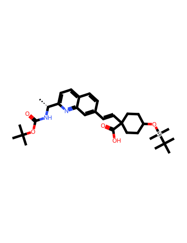 C[C@@H](NC(=O)OC(C)(C)C)c1ccc2ccc(/C=C/C3(C(=O)O)CCC(O[Si](C)(C)C(C)(C)C)CC3)cc2n1